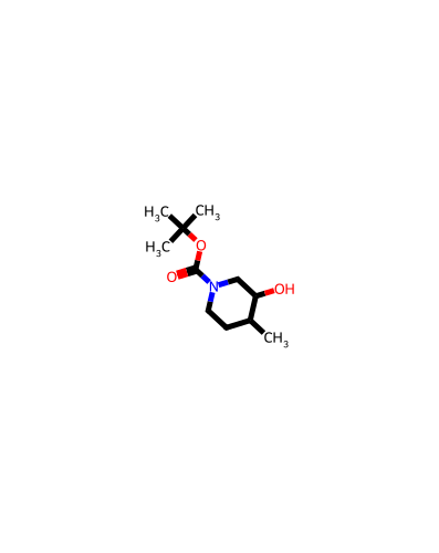 CC1CCN(C(=O)OC(C)(C)C)CC1O